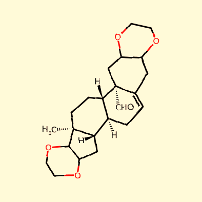 C[C@]12CC[C@H]3[C@@H](CC=C4CC5OCCOC5C[C@@]43C=O)[C@@H]1CC1OCCOC12